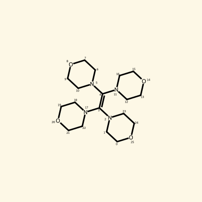 C1CN(C(=C(N2CCOCC2)N2CCOCC2)N2CCOCC2)CCO1